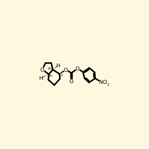 O=C(Oc1ccc([N+](=O)[O-])cc1)O[C@H]1CCC[C@H]2OCC[C@@H]12